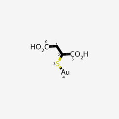 O=C(O)CC([S][Au])C(=O)O